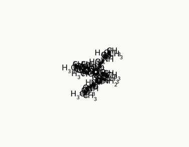 CN(C(=O)OC(C)(C)C)[C@@H]1[C@@H](O)[C@@H](O[C@@H]2[C@@H](O)[C@H](O[C@H]3OC(CN)=CC[C@H]3NC(=O)CNC(=O)OC(C)(C)C)[C@@H](NC(=O)OC(C)(C)C)C[C@H]2NC(=O)[C@@H](O)CCNC(=O)OC(C)(C)C)OC[C@]1(C)O